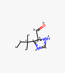 CCC(C)(C)c1nc[nH]c1C=O